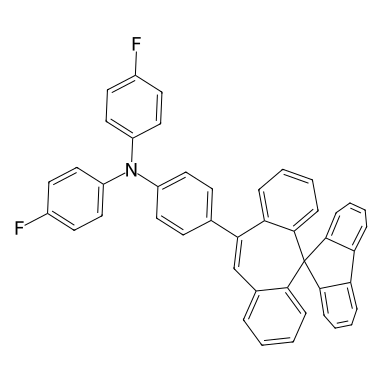 Fc1ccc(N(c2ccc(F)cc2)c2ccc(C3=Cc4ccccc4C4(c5ccccc53)c3ccccc3-c3ccccc34)cc2)cc1